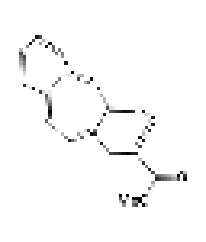 COC(=O)C1=CC=C2C=c3ccccc3=CC=C2C1